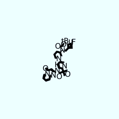 CC(C)(C)OC(=O)N(CC12CC(F)(C1)C2)[C@@H]1CCCN(c2ccc(C3(C(=O)Nc4cc(=O)n5ccccc5n4)COC3)nc2)C1